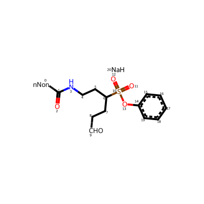 CCCCCCCCCC(=O)NCCC(CCC=O)S(=O)(=O)Oc1ccccc1.[NaH]